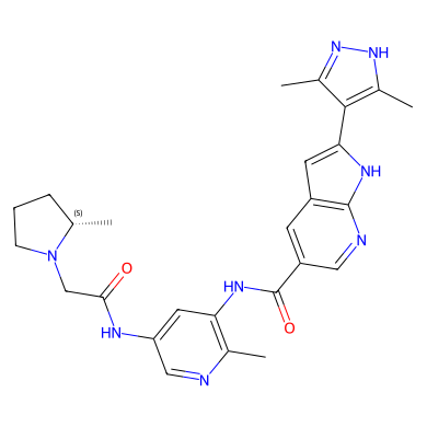 Cc1ncc(NC(=O)CN2CCC[C@@H]2C)cc1NC(=O)c1cnc2[nH]c(-c3c(C)n[nH]c3C)cc2c1